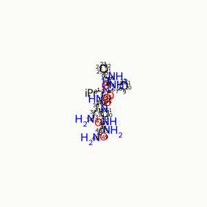 CC(C)C[C@@H](NC(=O)[C@@H](Cc1ccccc1)NC(=O)[C@H](N)Cc1ccccc1)C(=O)N[C@H](CCCCN)C(=O)N1CCC(NC(=O)[C@@H](N)CC(N)=O)CC1